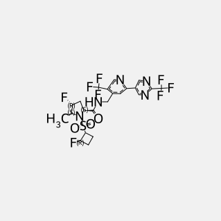 C[C@H]1[C@H](F)C[C@@H](C(=O)NCc2cc(-c3cnc(C(F)(F)F)nc3)ncc2C(F)(F)F)N1S(=O)(=O)C1CC[C@H]1F